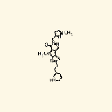 Cn1ccc(Cn2ncc3c4sc(CCC5=CNCC=C5)nc4n(C)c3c2=O)n1